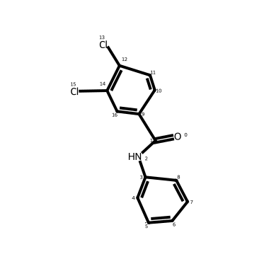 O=C(Nc1c[c]ccc1)c1ccc(Cl)c(Cl)c1